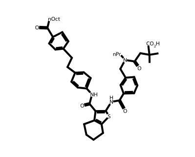 CCCCCCCCC(=O)c1ccc(CCc2ccc(NC(=O)c3c(NC(=O)c4cccc(CN(CCC)C(=O)CC(C)(C)C(=O)O)c4)sc4c3CCCC4)cc2)cc1